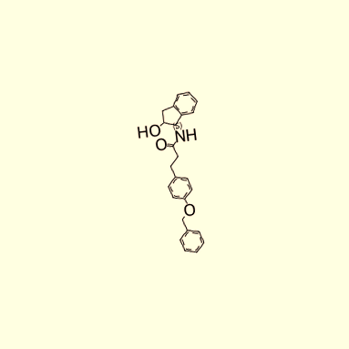 O=C(CCc1ccc(OCc2ccccc2)cc1)N[C@H]1c2ccccc2CC1O